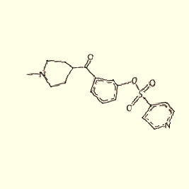 CN1CCC(C(=O)c2cccc(OS(=O)(=O)c3ccncc3)c2)CC1